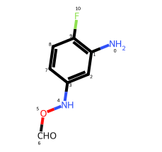 Nc1cc(NOC=O)ccc1F